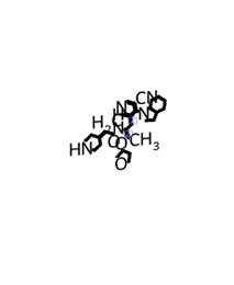 C=c1ncc(C#N)c(N2CCC3CCCCC32)/c1=C/C(NC(=O)C=C1CCNCC1)=C(\C)OC1CCOC1